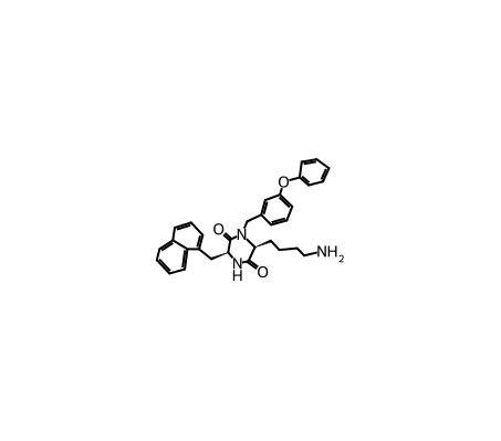 NCCCC[C@H]1C(=O)N[C@@H](Cc2cccc3ccccc23)C(=O)N1Cc1cccc(Oc2ccccc2)c1